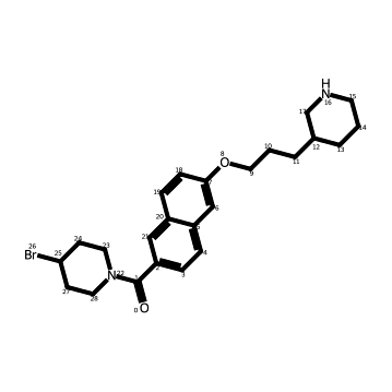 O=C(c1ccc2cc(OCCCC3CCCNC3)ccc2c1)N1CCC(Br)CC1